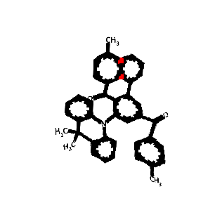 Cc1ccc(C(=O)c2cc(-c3ccccc3)c(C(=O)c3ccc(C)cc3)c(N3c4ccccc4C(C)(C)c4ccccc43)c2)cc1